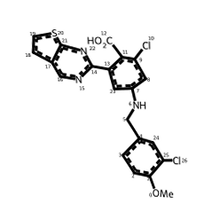 COc1ccc(CNc2cc(Cl)c(C(=O)O)c(-c3ncc4ccsc4n3)c2)cc1Cl